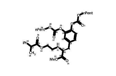 CCCCCOC(=O)Oc1ccc(C[C@H](NCCOC(=O)C(C)C(C)C)C(=O)OC)cc1OC(=O)OCCCCC